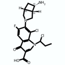 CCC(Cl)n1cc(C(=O)O)c(=O)c2cc(F)c(N3C[C@@H]4C[C@H](N)[C@@H]4C3)c(Cl)c21